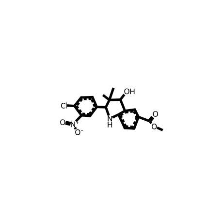 COC(=O)c1ccc2c(c1)C(O)C(C)(C)C(c1ccc(Cl)c([N+](=O)[O-])c1)N2